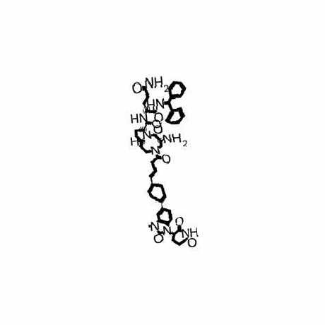 Cn1c(=O)n(C2CCC(=O)NC2=O)c2ccc([C@H]3CC[C@H](CCCC(=O)N4CC[C@H]5CC[C@@H](C(=O)N[C@@H](CCC(N)=O)C(=O)NC(c6ccccc6)c6ccccc6)N5C(=O)[C@@H](N)C4)CC3)cc21